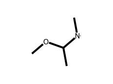 C[N]C(C)OC